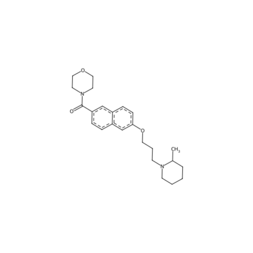 CC1CCCCN1CCCOc1ccc2cc(C(=O)N3CCOCC3)ccc2c1